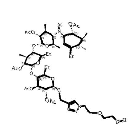 CCOCCOCCn1cc(CO[C@@H]2O[C@H](CC)[C@@H](O[C@H]3O[C@H](CC)[C@@H](O[C@H]4O[C@H](C)[C@@H](N(C(C)=O)[C@H]5C=C(CC)[C@@H](C)[C@H](C)[C@H]5OC(C)=O)[C@H](C)[C@H]4OC(C)=O)[C@H](C)[C@H]3OC(C)=O)[C@H](OC(C)=O)[C@H]2OC(C)=O)nn1